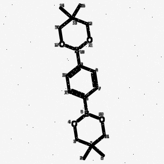 CC1(C)COB(c2ccc(B3OCC(C)(C)CO3)cc2)OC1